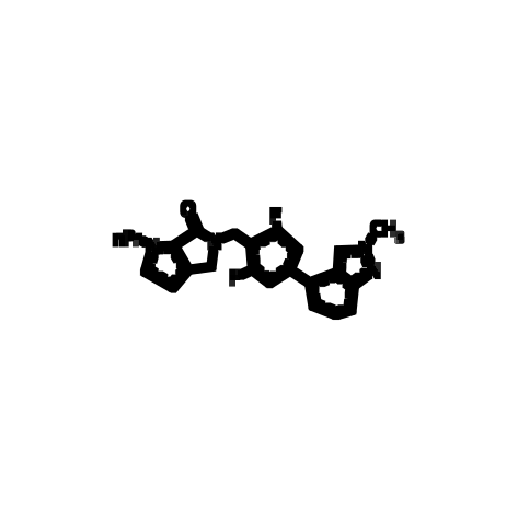 CCCn1ccc2c1C(=O)N(Cc1c(F)cc(-c3cccc4nn(C)cc34)cc1F)C2